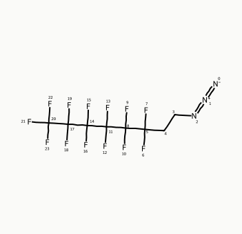 [N-]=[N+]=NCCC(F)(F)C(F)(F)C(F)(F)C(F)(F)C(F)(F)C(F)(F)F